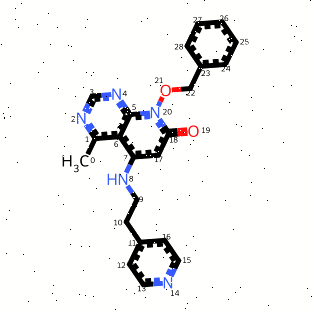 Cc1ncnc2c1c(NCCc1ccncc1)cc(=O)n2OCc1ccccc1